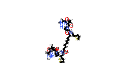 CN[C@@H](C)C(=O)N[C@H](C(=O)N1CCC[C@H]1CN(CCc1cccs1)C(=O)CCCCCCCCC(=O)N(CCc1cccs1)C[C@@H]1CCCN1C(=O)[C@@H](NC(=O)[C@H](C)NC)C(C)(C)C)C(C)(C)C